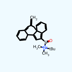 C=C1C=C2C=CC=CC2C2=CC([Si](=O)[N+](C)(C)C(C)(C)C)=C3C=CC=CC23C1